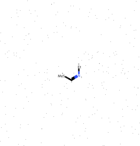 CC/N=C\SC